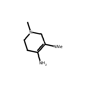 CNC1=C(N)CCN(C)C1